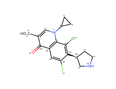 O=C(O)c1cn(C2CC2)c2c(Cl)c([C@H]3CCNC3)c(F)cc2c1=O